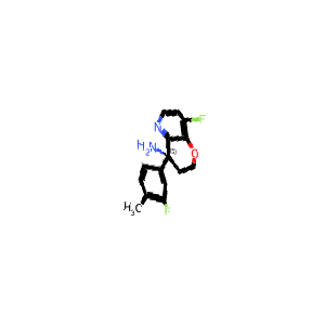 Cc1ccc([C@@]2(N)CCOc3c(F)ccnc32)cc1F